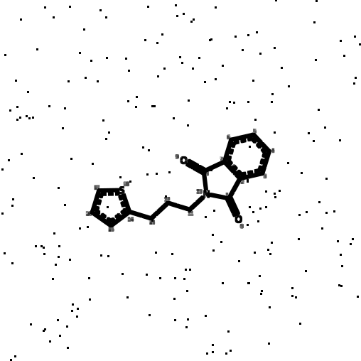 O=C1c2ccccc2C(=O)N1CCCc1cccs1